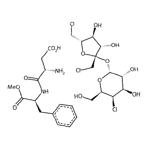 COC(=O)[C@H](Cc1ccccc1)NC(=O)[C@@H](N)CC(=O)O.OC[C@H]1O[C@H](O[C@]2(CCl)O[C@H](CCl)[C@@H](O)[C@@H]2O)[C@H](O)[C@@H](O)[C@H]1Cl